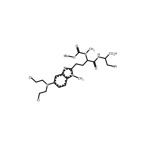 CC(C)CC(NC(=O)C(CCc1nc2cc(N(CCCl)CCCl)ccc2n1C)N(C)C(=O)OC(C)(C)C)C(=O)O